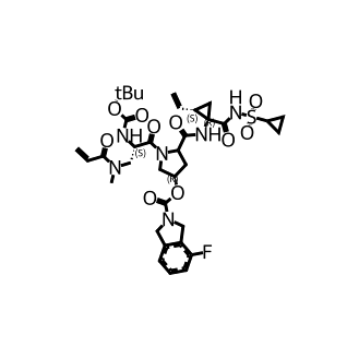 C=CC(=O)N(C)C[C@H](NC(=O)OC(C)(C)C)C(=O)N1C[C@H](OC(=O)N2Cc3cccc(F)c3C2)CC1C(=O)N[C@]1(C(=O)NS(=O)(=O)C2CC2)C[C@H]1C=C